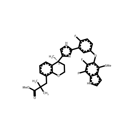 COC(=O)C(C)(C)Cc1cccc2c1OCC[C@]2(C)c1c[nH]c(-c2cc(Oc3c(F)c(F)c4[nH]ccc4c3SC)ccc2F)n1